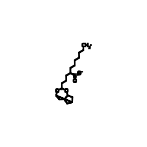 [CH2]CCCCCCC(CCC[C]1OC2CC3CC2CC3O1)[N+](=O)[O-]